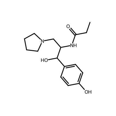 CCC(=O)NC(CN1CCCC1)C(O)c1ccc(O)cc1